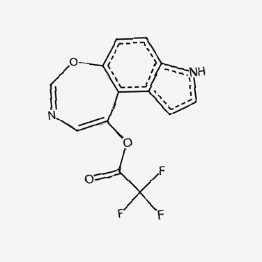 O=C(OC1=CN=COc2ccc3[nH]ccc3c21)C(F)(F)F